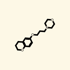 c1cc2c(cc1OCCCN1CCOCC1)CCCO2